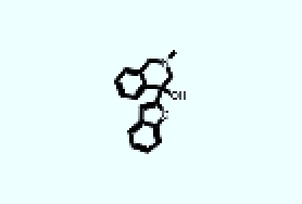 CN1Cc2ccccc2C(O)(c2cc3ccccc3o2)C1